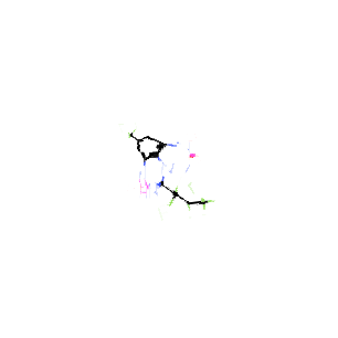 N=C(Nc1c([N+](=O)[O-])cc(C(F)(F)F)cc1[N+](=O)[O-])C(F)(F)C(F)C(F)(F)F